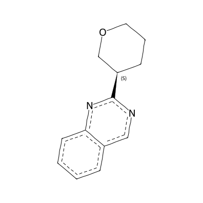 c1ccc2nc([C@@H]3CCCOC3)ncc2c1